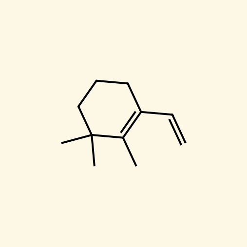 C=CC1=C(C)C(C)(C)CCC1